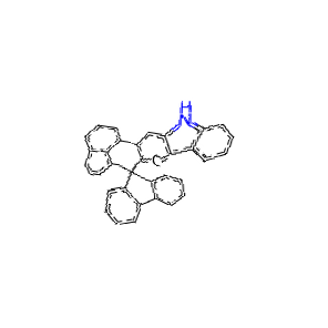 c1ccc2c(c1)-c1ccccc1C21c2cc3c(cc2-c2cccc4cccc1c24)[nH]c1ccccc13